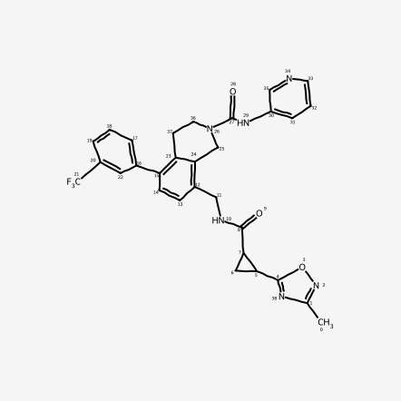 Cc1noc(C2CC2C(=O)NCc2ccc(-c3cccc(C(F)(F)F)c3)c3c2CN(C(=O)Nc2cccnc2)CC3)n1